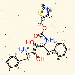 N[C@@H](Cc1ccccc1)[C@H](O)C(O)[C@H](Cc1ccccc1)NC(=O)OCc1cncs1